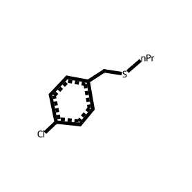 [CH2]CCSCc1ccc(Cl)cc1